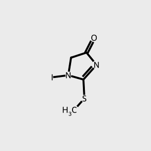 CSC1=NC(=O)CN1I